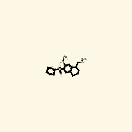 CNCC1CCCc2cc(S(=O)(=O)c3ccccc3)c(OC)cc21